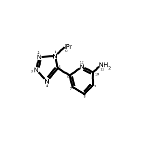 CC(C)n1nnnc1-c1cccc(N)n1